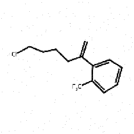 C=C(CCCCCl)c1ccccc1C(F)(F)F